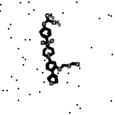 CC(C)Oc1ccc(S(=O)(=O)N2CCN(c3ccc(-c4ccoc4)c(OCOC=O)c3)CC2)cc1